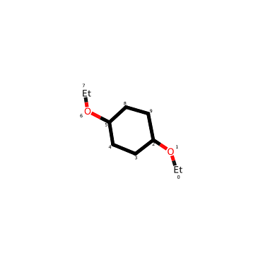 CCOC1CCC(OCC)CC1